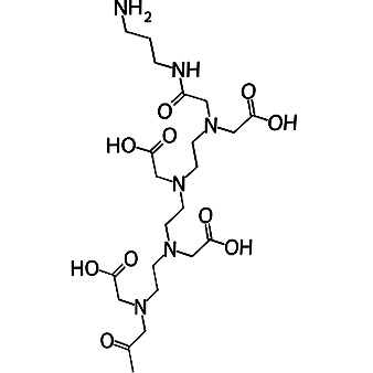 CC(=O)CN(CCN(CCN(CCN(CC(=O)O)CC(=O)NCCCN)CC(=O)O)CC(=O)O)CC(=O)O